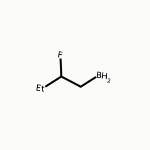 BCC(F)CC